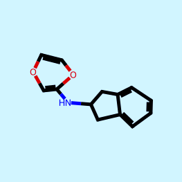 C1=COC(NC2Cc3ccccc3C2)=CO1